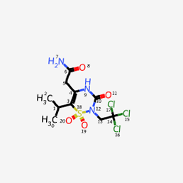 CC(C)C1=C(CC(N)=O)NC(=O)N(CC(Cl)(Cl)Cl)S1(=O)=O